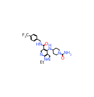 CCn1ncc2c(NC3CCN(C(N)=O)CC3)c(C(=O)NCc3ccc(C(F)(F)F)cc3)cnc21